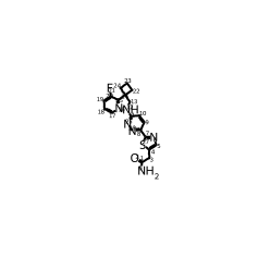 NC(=O)Cc1cnc(-c2ccc(NCC3(c4ncccc4F)CCC3)nn2)s1